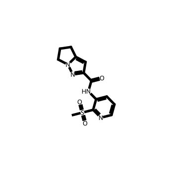 CS(=O)(=O)c1ncccc1NC(=O)c1cc2n(n1)CCC2